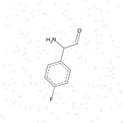 NC(C=O)c1ccc(F)cc1